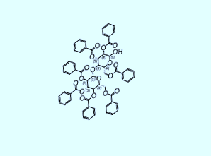 O=C(OC[C@H]1O[C@@H](O[C@H]2[C@H](OC(=O)c3ccccc3)[C@@H](OC(=O)c3ccccc3)[C@@H](O)O[C@@H]2COC(=O)c2ccccc2)[C@H](OC(=O)c2ccccc2)[C@@H](OC(=O)c2ccccc2)C1OC(=O)c1ccccc1)c1ccccc1